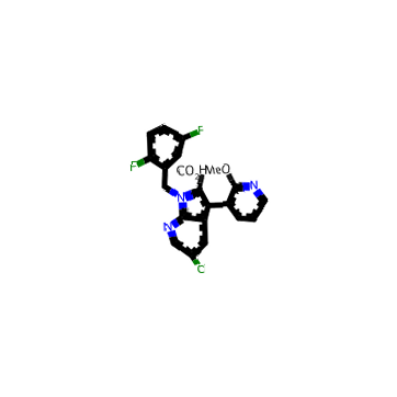 COc1ncccc1-c1c(C(=O)O)n(Cc2cc(F)ccc2F)c2ncc(Cl)cc12